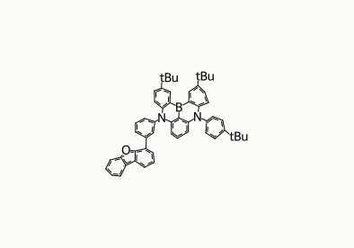 CC(C)(C)c1ccc(N2c3ccc(C(C)(C)C)cc3B3c4cc(C(C)(C)C)ccc4N(c4cccc(-c5cccc6c5oc5ccccc56)c4)c4cccc2c43)cc1